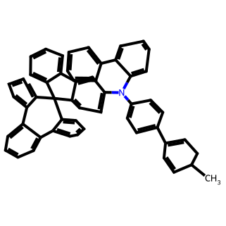 CC1C=CC(c2ccc(N(c3ccc4c(c3)-c3ccccc3C43c4ccccc4-c4ccccc4-c4ccccc43)c3ccccc3-c3ccccc3)cc2)=CC1